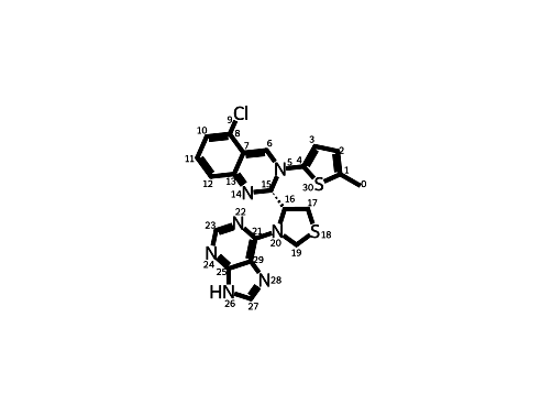 Cc1ccc(N2C=c3c(Cl)cccc3=N[C@H]2C2CSCN2c2ncnc3[nH]cnc23)s1